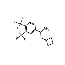 NC(CN1CCC1)c1ccc(C(F)(F)F)c(C(F)(F)F)c1